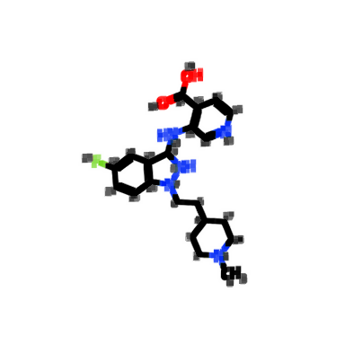 CN1CCC(CCN2NC(Nc3cnccc3C(=O)O)c3cc(F)ccc32)CC1